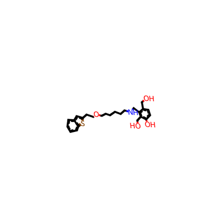 OCc1ccc(O)c(CO)c1CNCCCCCCOCCc1cc2ccccc2s1